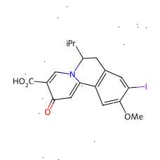 COc1cc2c(cc1I)CC(C(C)C)n1cc(C(=O)O)c(=O)cc1-2